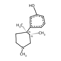 C[C@@H]1CN(C)CC[C@@]1(C)c1cccc(O)c1